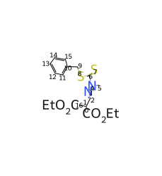 CCOC(=O)C(C=NN(C)C(=S)SCc1ccccc1)C(=O)OCC